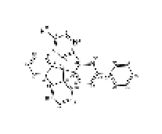 Brc1cnc2c(c1)C1(c3ccccc3-c3ccccc31)c1ccc(-c3ccccc3)nc1-2